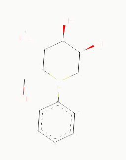 OC[C@@H]1[C@H](O)[C@@H](O)[C@@H](O)C[SH]1c1ccccc1